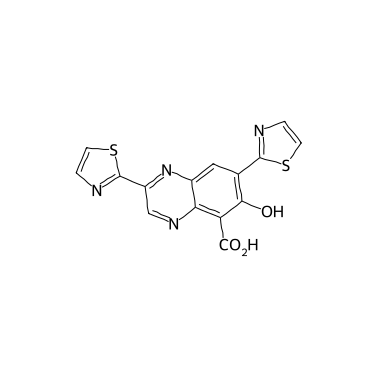 O=C(O)c1c(O)c(-c2nccs2)cc2nc(-c3nccs3)cnc12